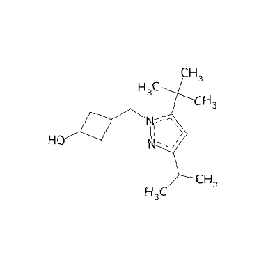 CC(C)c1cc(C(C)(C)C)n(CC2CC(O)C2)n1